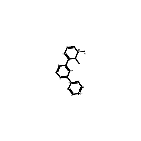 CC1C(c2cccc(-c3ccncc3)c2)=CC=C[C@H]1C